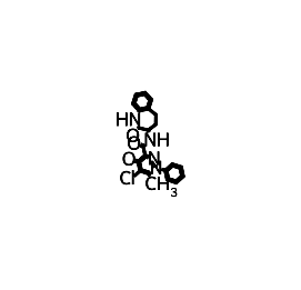 Cc1c(Cl)c(=O)c(C(=O)NC2CCc3ccccc3NC2=O)nn1-c1ccccc1